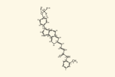 Cc1ccccc1NC(=O)N=NC=C1C=c2ccc3c(ncn3-c3ccc(OC(F)(F)F)cc3)c2=CC1